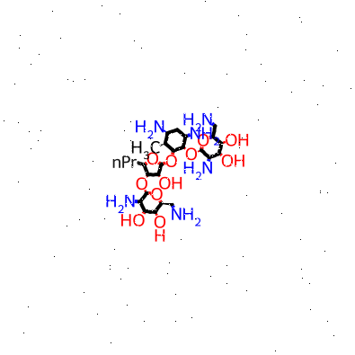 CCCC1OC(OC2[C@H](O[C@@H]3OC(CN)[C@@H](O)C(O)C3N)C(N)C[C@@H](N)[C@H]2C)[C@@H](O)[C@H]1O[C@H]1O[C@@H](CN)[C@@H](O)C(O)C1N